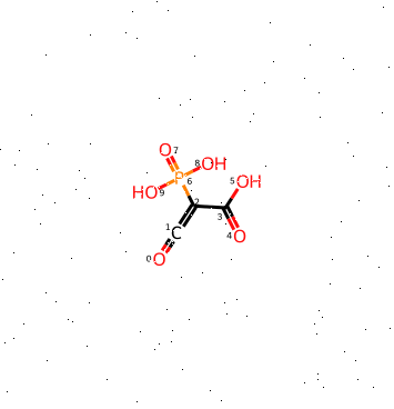 O=C=C(C(=O)O)P(=O)(O)O